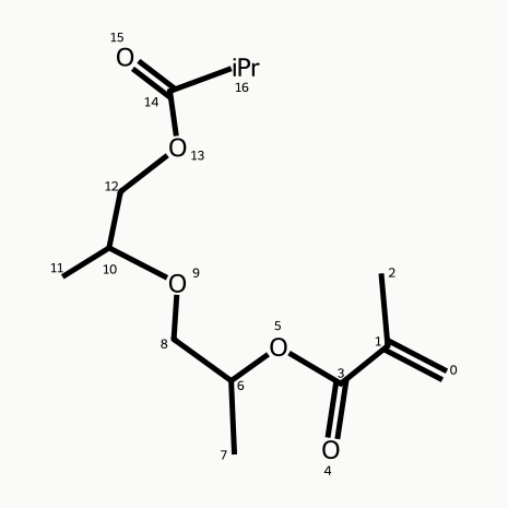 C=C(C)C(=O)OC(C)COC(C)COC(=O)C(C)C